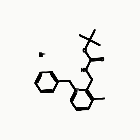 Cc1ccc[n+](Cc2ccccc2)c1CNC(=O)OC(C)(C)C.[Br-]